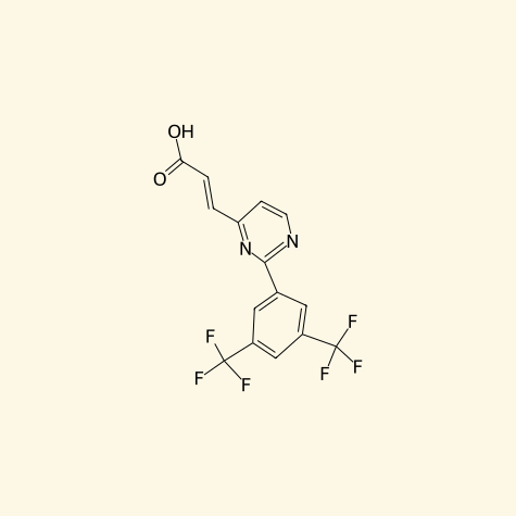 O=C(O)C=Cc1ccnc(-c2cc(C(F)(F)F)cc(C(F)(F)F)c2)n1